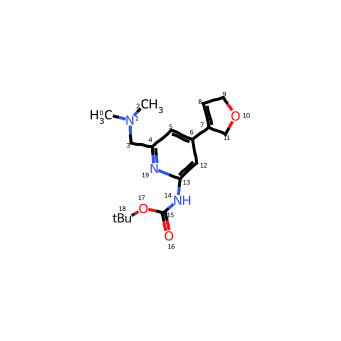 CN(C)Cc1cc(C2=CCOC2)cc(NC(=O)OC(C)(C)C)n1